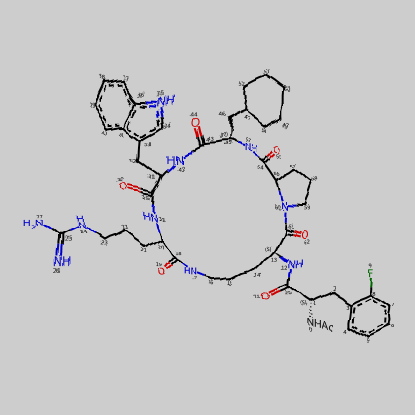 CC(=O)N[C@@H](Cc1ccccc1F)C(=O)N[C@H]1CCCNC(=O)C(CCCNC(=N)N)NC(=O)C(Cc2c[nH]c3ccccc23)NC(=O)[C@@H](CC2CCCCC2)NC(=O)C2CCCN2C1=O